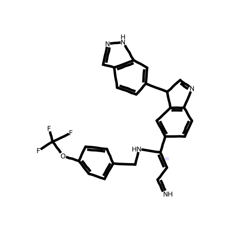 N=C/C=C(\NCc1ccc(OC(F)(F)F)cc1)c1ccc2c(c1)C(c1ccc3cn[nH]c3c1)C=N2